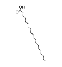 CCCCCC=CCCCC=CCCC=CCCCC(=O)O